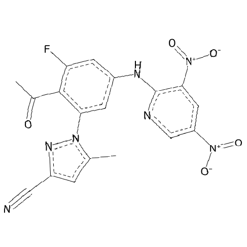 CC(=O)c1c(F)cc(Nc2ncc([N+](=O)[O-])cc2[N+](=O)[O-])cc1-n1nc(C#N)cc1C